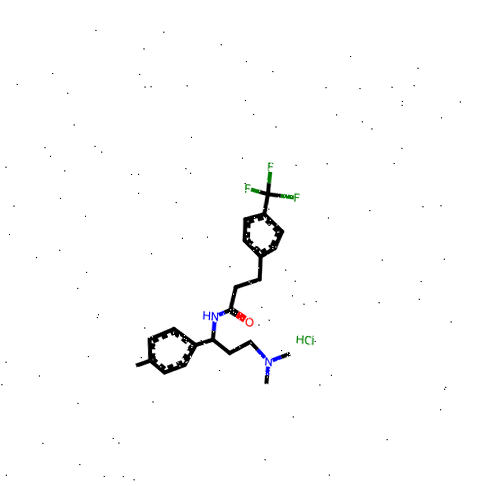 Cc1ccc(C(CCN(C)C)NC(=O)CCc2ccc(C(F)(F)F)cc2)cc1.Cl